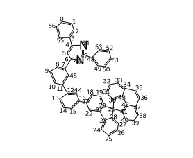 c1ccc(-c2cc(-c3cccc(-c4cccc(-c5ccc6c(c5)-c5ccccc5C65c6cccc7ccc8cccc5c8c67)c4)c3)nc(-c3ccccc3)n2)cc1